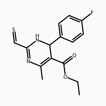 CCOC(=O)C1=C(C)N=C(C=S)NC1c1ccc(F)cc1